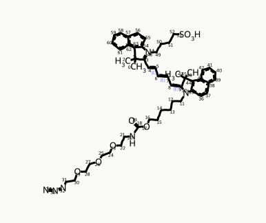 CC1(C)C(/C=C/C=C/C=C2/N(CCCCCCOC(=O)NCCOCCOCCOCCN=[N+]=[N-])c3ccc4ccccc4c3C2(C)C)=[N+](CCCCS(=O)(=O)O)c2ccc3ccccc3c21